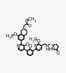 COC(=O)CN1CCc2cc(-c3nccc(-c4cccc(-c5ccc(CNC[C@@H]6CCC(=O)N6)c(OC)n5)c4Cl)c3Cl)cc(OC)c2C1